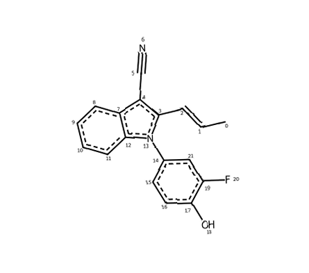 C/C=C/c1c(C#N)c2ccccc2n1-c1ccc(O)c(F)c1